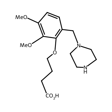 COc1ccc(CN2CCNCC2)c(OCCCC(=O)O)c1OC